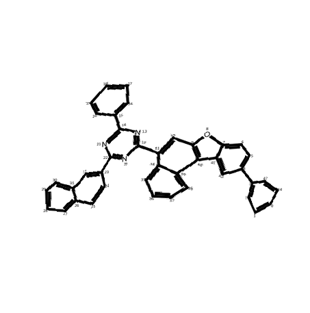 c1ccc(-c2ccc3oc4cc(-c5nc(-c6ccccc6)nc(-c6ccc7ccccc7c6)n5)c5ccccc5c4c3c2)cc1